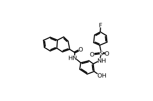 O=C(Nc1ccc(O)c(NS(=O)(=O)c2ccc(F)cc2)c1)c1ccc2ccccc2c1